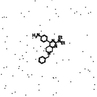 CCN(CC)c1nc2c(c(-c3ccc(N)cc3)n1)CCN(Cc1ccccc1)C2